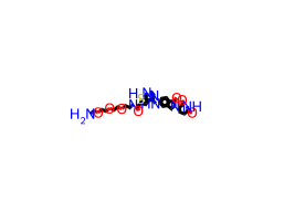 NCOCCOCCOCCNC(=O)c1cc2c(Nc3ccc4c(c3)CN(C3CCC(=O)NC3=O)C4=O)ncnc2s1